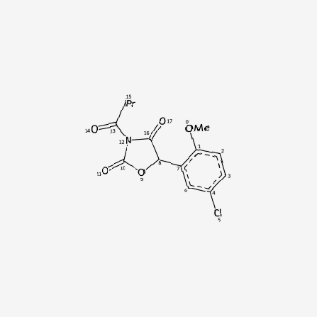 COc1ccc(Cl)cc1C1OC(=O)N(C(=O)C(C)C)C1=O